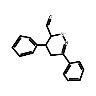 O=CC1NN=C(c2ccccc2)CC1c1ccccc1